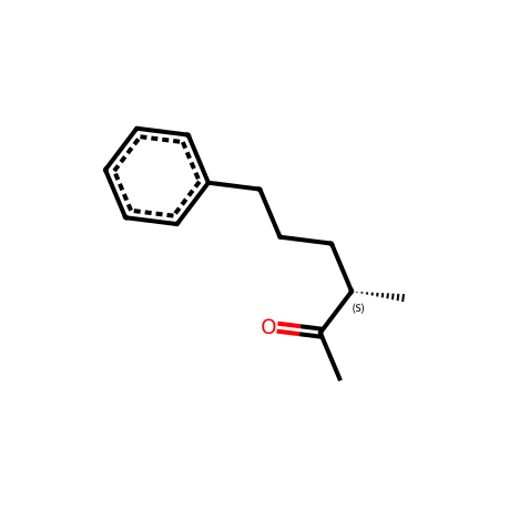 CC(=O)[C@@H](C)CCCc1ccccc1